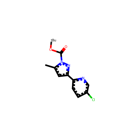 Cc1cc(-c2ccc(Cl)cn2)nn1C(=O)OC(C)(C)C